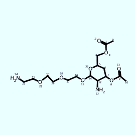 CC(=O)OCC1CC(OC(C)=O)C(N)C(OCCOCCOCCN)O1